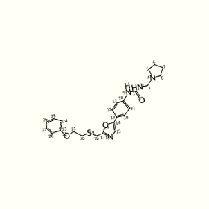 O=C(NCN1CCCC1)Nc1ccc(-c2cnc(CSCCOc3ccccc3)o2)cc1